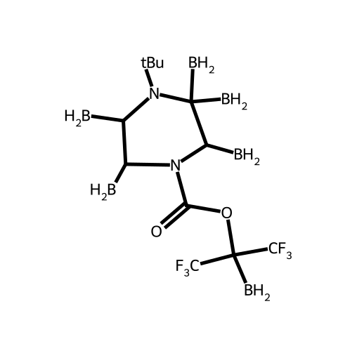 BC1C(B)N(C(C)(C)C)C(B)(B)C(B)N1C(=O)OC(B)(C(F)(F)F)C(F)(F)F